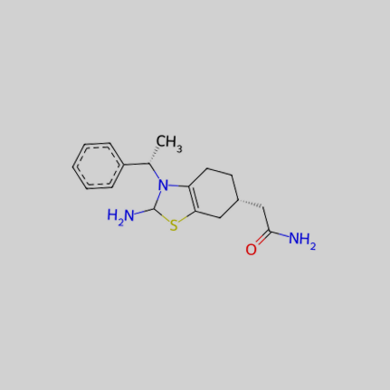 C[C@@H](c1ccccc1)N1C2=C(C[C@@H](CC(N)=O)CC2)SC1N